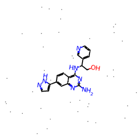 Nc1nc(NC(CO)c2cccnc2)c2ccc(-c3ccn[nH]3)cc2n1